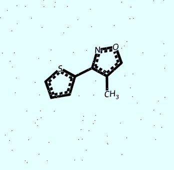 Cc1conc1-c1cccs1